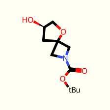 CC(C)(C)OC(=O)N1CC2(C[C@@H](O)CO2)C1